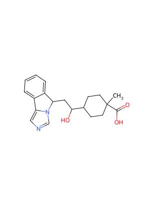 CC1(C(=O)O)CCC(C(O)CC2c3ccccc3-c3cncn32)CC1